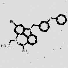 CCc1cc(OCC(=O)O)c2c3c(C(N)=O)cccc3n(Cc3cccc(Oc4ccccc4)c3)c2c1